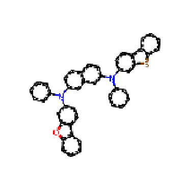 c1ccc(N(c2ccc3ccc(N(c4ccccc4)c4ccc5c(c4)sc4ccccc45)cc3c2)c2ccc3c(c2)oc2ccccc23)cc1